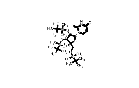 CC(C)(C)[Si](C)(C)OC[C@@]1(F)O[C@@H](n2ccc(=O)[nH]c2=O)[C@H](O[Si](C)(C)C(C)(C)C)[C@@H]1O[Si](C)(C)C(C)(C)C